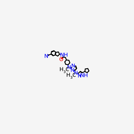 CN(c1cc(C2CCCC2)[nH]n1)c1ccnc(N(C)C2CCC(CC(=O)NC3Cc4ccc(C#N)cc4C3)CC2)n1